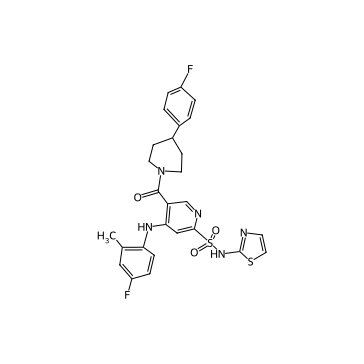 Cc1cc(F)ccc1Nc1cc(S(=O)(=O)Nc2nccs2)ncc1C(=O)N1CCC(c2ccc(F)cc2)CC1